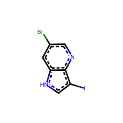 Brc1cnc2c(I)c[nH]c2c1